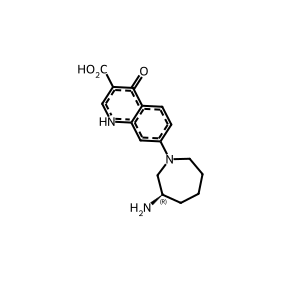 N[C@@H]1CCCCN(c2ccc3c(=O)c(C(=O)O)c[nH]c3c2)C1